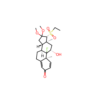 CCS(=O)(=O)[C@H]1C(OC)(OC)C[C@H]2[C@@H]3CCC4=CC(=O)C=C[C@]4(C)C3(F)[C@@H](O)C[C@@]21C